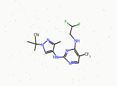 Cc1nn(C(C)(C)C#N)cc1Nc1ncc(C(F)(F)F)c(NCC(F)F)n1